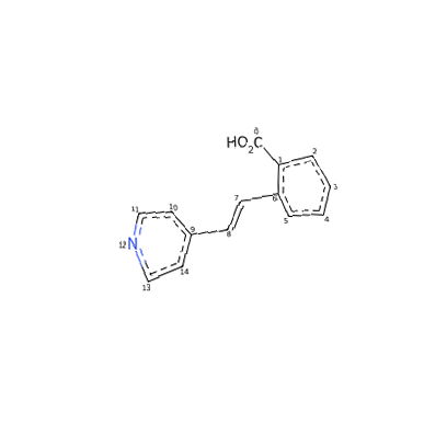 O=C(O)c1ccccc1C=Cc1ccncc1